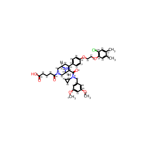 COc1cc(CN(C(=O)C2=C(c3ccc(OCCOc4cc(C)c(C)cc4Cl)cc3)C[C@@H]3CN(C(=O)CCCC(=O)O)C[C@H]2N3)C2CC2)cc(OC)c1